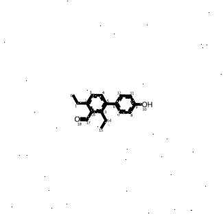 CCc1ccc(-c2ccc(O)cc2)c(CC)c1C=O